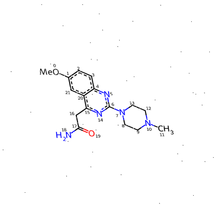 COc1ccc2nc(N3CCN(C)CC3)nc(CC(N)=O)c2c1